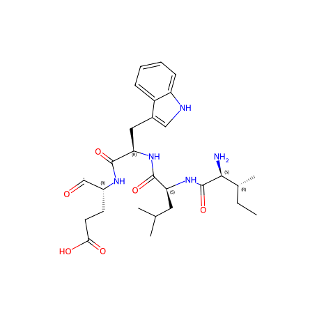 CC[C@@H](C)[C@H](N)C(=O)N[C@@H](CC(C)C)C(=O)N[C@H](Cc1c[nH]c2ccccc12)C(=O)N[C@@H]([C]=O)CCC(=O)O